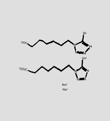 O=C([O-])CCCCCCn1nnnc1S.O=C([O-])CCCCCCn1nnnc1S.[Na+].[Na+]